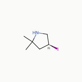 CC1(C)C[C@H](I)CN1